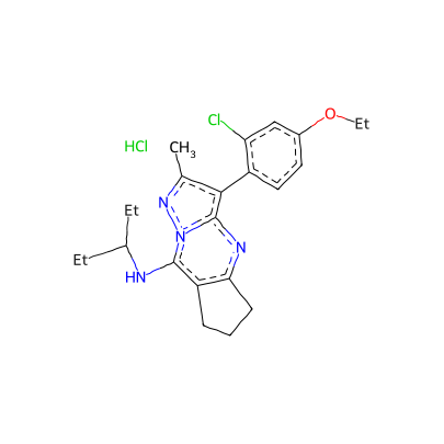 CCOc1ccc(-c2c(C)nn3c(NC(CC)CC)c4c(nc23)CCC4)c(Cl)c1.Cl